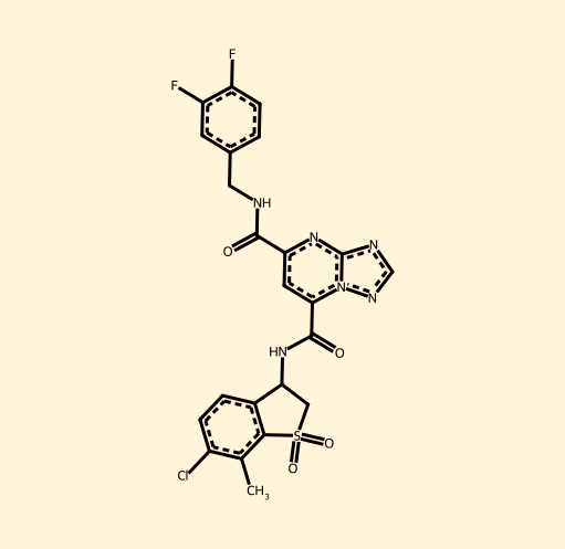 Cc1c(Cl)ccc2c1S(=O)(=O)CC2NC(=O)c1cc(C(=O)NCc2ccc(F)c(F)c2)nc2ncnn12